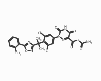 Cc1ccccc1-c1nc(C(C)(C)c2c(Cl)cc(-n3nc(C(=O)OC(N)=O)c(=O)[nH]c3=O)cc2Cl)no1